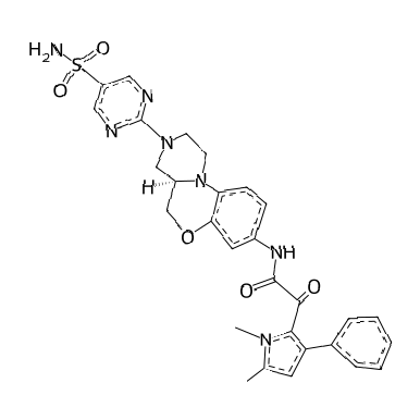 Cc1cc(-c2ccccc2)c(C(=O)C(=O)Nc2ccc3c(c2)OC[C@H]2CN(c4ncc(S(N)(=O)=O)cn4)CCN32)n1C